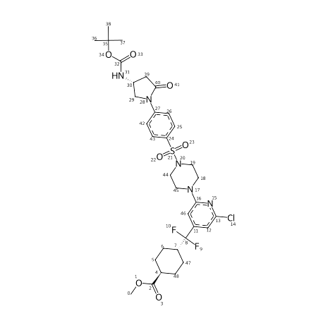 COC(=O)[C@H]1CC[C@H](C(F)(F)c2cc(Cl)nc(N3CCN(S(=O)(=O)c4ccc(N5C[C@H](NC(=O)OC(C)(C)C)CC5=O)cc4)CC3)c2)CC1